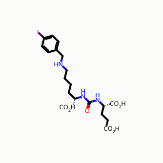 O=C(O)CC[C@H](NC(=O)N[C@@H](CCCCNCc1ccc(I)cc1)C(=O)O)C(=O)O